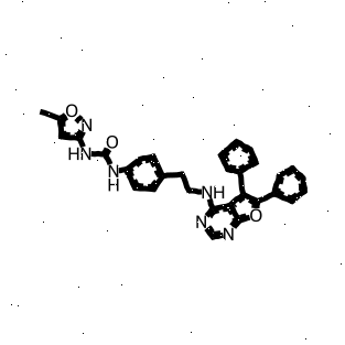 Cc1cc(NC(=O)Nc2ccc(CCNc3ncnc4oc(-c5ccccc5)c(-c5ccccc5)c34)cc2)no1